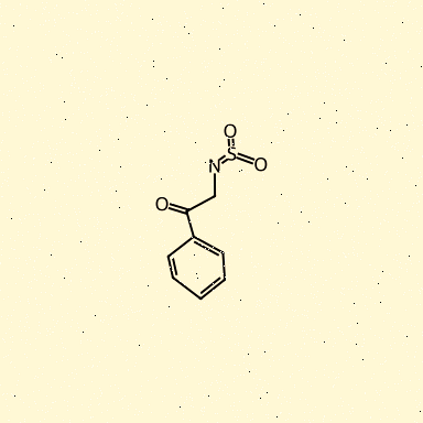 O=C(CN=S(=O)=O)c1ccccc1